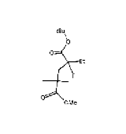 CCC(F)(CC(C)(C)C(=O)OC)C(=O)OC(C)(C)C